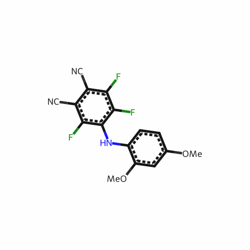 COc1ccc(Nc2c(F)c(F)c(C#N)c(C#N)c2F)c(OC)c1